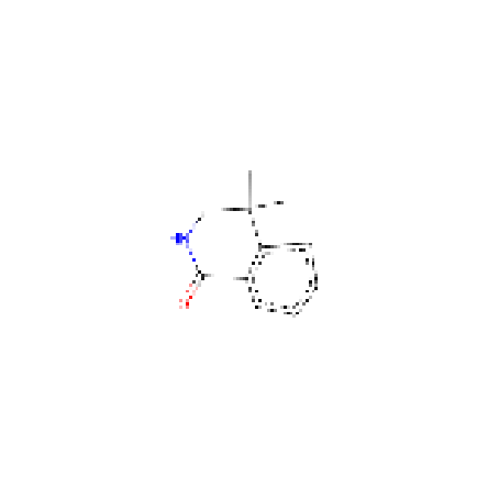 CC1(C)CNC(=O)c2ccccc21